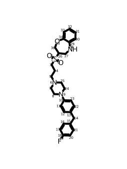 O=S(=O)(CCCN1CCN(c2ccc(Cc3ccc(F)cc3)cc2)CC1)C1CNc2ccccc2OC1